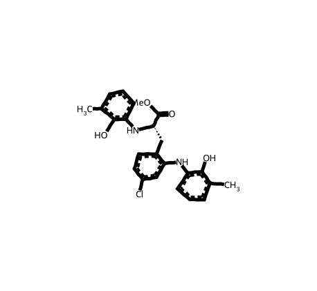 COC(=O)[C@H](Cc1ccc(Cl)cc1Nc1cccc(C)c1O)Nc1cccc(C)c1O